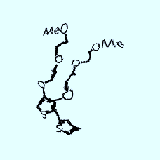 COCCOCCOc1csc(-c2cccs2)c1OCCOCCOC